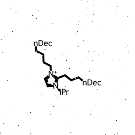 CCCCCCCCCCCCCC[n+]1ccn(C(C)C)c1CCCCCCCCCCCCC